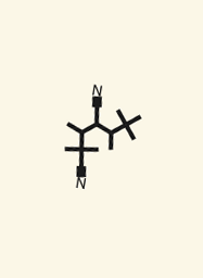 CC(C(C#N)C(C)C(C)(C)C#N)C(C)(C)C